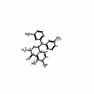 Cc1cccc(C(c2cccc(C)c2)C2CN(C)C(=O)C3=C(O)C(O)C=NN32)c1